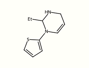 CCC1NCC=CN1c1cccs1